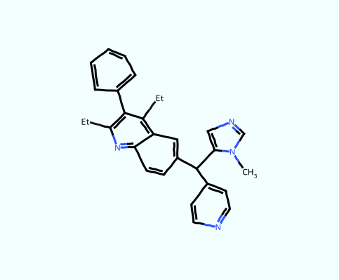 CCc1nc2ccc(C(c3ccncc3)c3cncn3C)cc2c(CC)c1-c1ccccc1